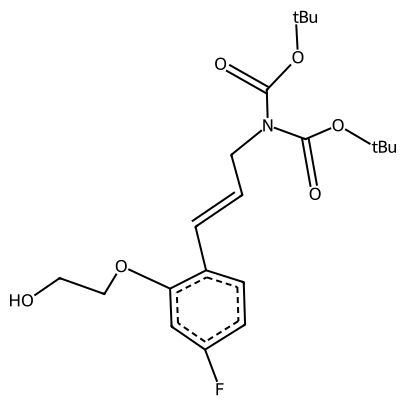 CC(C)(C)OC(=O)N(C/C=C/c1ccc(F)cc1OCCO)C(=O)OC(C)(C)C